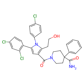 NC(=O)C1(c2ccccc2)CCN(C(=O)c2cc(-c3ccc(Cl)cc3Cl)n(-c3ccc(Cl)cc3)c2CCO)CC1